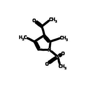 CC(=O)c1c(C)cn(S(C)(=O)=O)c1C